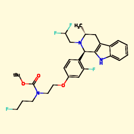 C[C@@H]1Cc2c([nH]c3ccccc23)[C@@H](c2ccc(OCCN(CCCF)C(=O)OC(C)(C)C)cc2F)N1CC(F)F